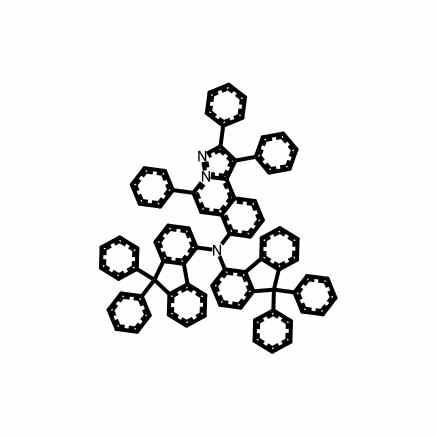 c1ccc(-c2nn3c(-c4ccccc4)cc4c(N(c5cccc6c5-c5ccccc5C6(c5ccccc5)c5ccccc5)c5cccc6c5-c5ccccc5C6(c5ccccc5)c5ccccc5)cccc4c3c2-c2ccccc2)cc1